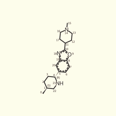 C[C@H]1CC[C@H](c2ccc3oc(C4CCN(C)CC4)nc3c2)NC1